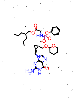 CCCC(CCC)COC(=O)[C@H](C)NP(=O)(OC[C@@]1(COC2CCCCO2)C/C1=C/n1cnc2c(=O)[nH]c(N)nc21)Oc1ccccc1